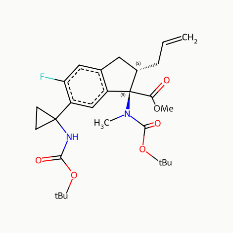 C=CC[C@H]1Cc2cc(F)c(C3(NC(=O)OC(C)(C)C)CC3)cc2[C@]1(C(=O)OC)N(C)C(=O)OC(C)(C)C